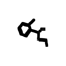 C/C=N/N(O)c1ccccc1C